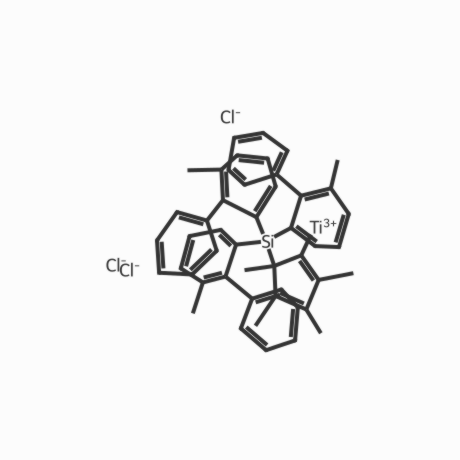 CC1=C(C)C(C)([Si](c2cccc(C)c2-c2ccccc2)(c2cccc(C)c2-c2ccccc2)c2cccc(C)c2-c2ccccc2)[C]([Ti+3])=C1C.[Cl-].[Cl-].[Cl-]